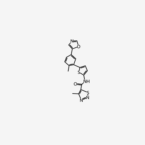 Cc1ccc(-c2cnco2)cc1-c1ccc(NC(=O)c2snnc2C)s1